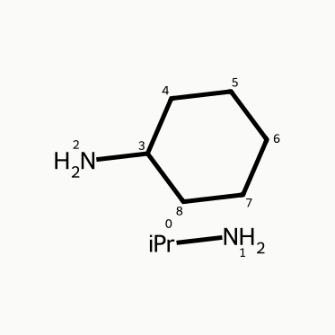 CC(C)N.NC1CCCCC1